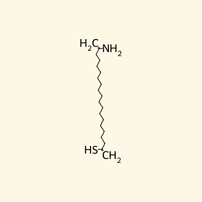 C=C(N)CCCCCCCCCCCCCCCCC(=C)S